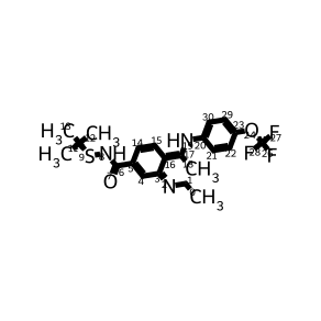 CC/N=C1/C=C(C(=O)NSC(C)(C)C)C=C/C1=C(/C)Nc1ccc(OC(F)(F)F)cc1